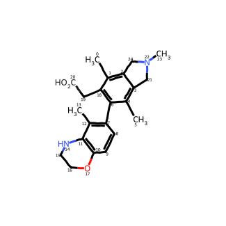 Cc1c2c(c(C)c(-c3ccc4c(c3C)NCCO4)c1CC(=O)O)CN(C)C2